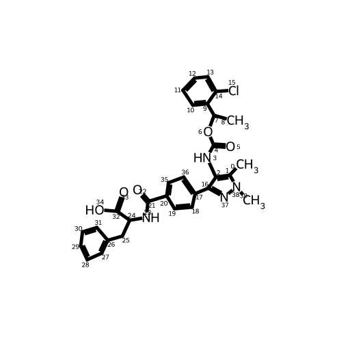 Cc1c(NC(=O)OC(C)c2ccccc2Cl)c(-c2ccc(C(=O)NC(Cc3ccccc3)C(=O)O)cc2)nn1C